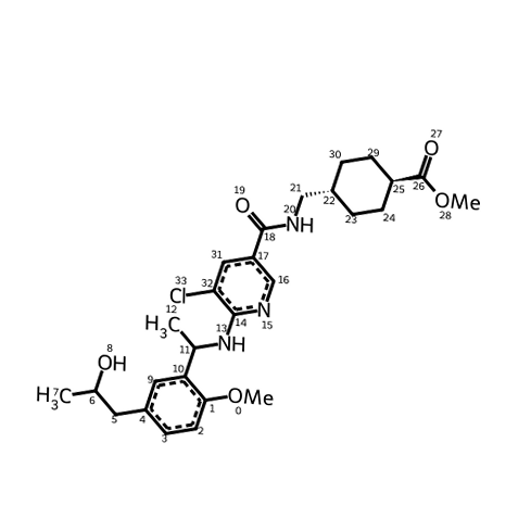 COc1ccc(CC(C)O)cc1C(C)Nc1ncc(C(=O)NC[C@H]2CC[C@H](C(=O)OC)CC2)cc1Cl